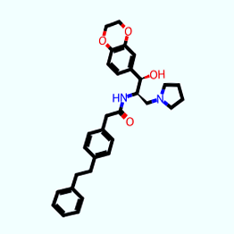 O=C(Cc1ccc(CCc2ccccc2)cc1)N[C@H](CN1CCCC1)[C@H](O)c1ccc2c(c1)OCCO2